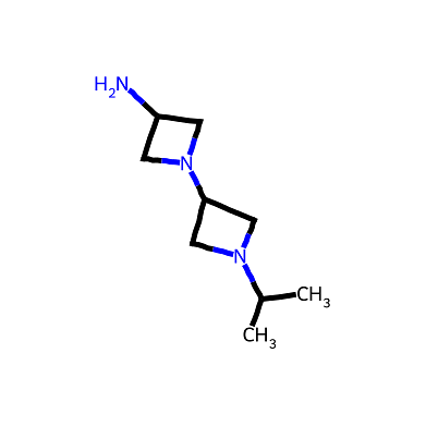 CC(C)N1CC(N2CC(N)C2)C1